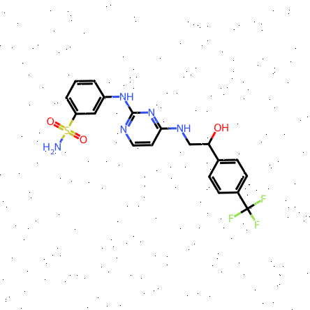 NS(=O)(=O)c1cccc(Nc2nccc(NCC(O)c3ccc(C(F)(F)F)cc3)n2)c1